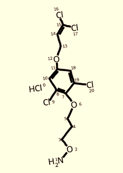 Cl.NOCCCOc1c(Cl)cc(OCC=C(Cl)Cl)cc1Cl